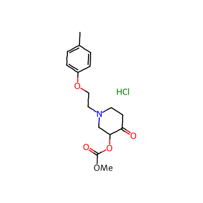 COC(=O)OC1CN(CCOc2ccc(C)cc2)CCC1=O.Cl